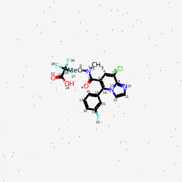 CON(C)C(=O)c1cc(Cl)c2nccn2c1-c1cccc(F)c1.O=C(O)C(F)(F)F